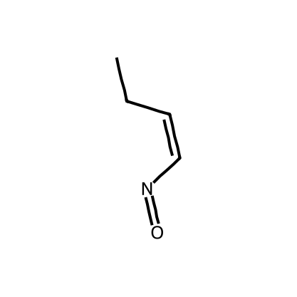 CC/C=C\N=O